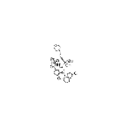 CCCC[C@](O)(C#CCCN1CCOCC1)[C@@H]1CC[C@H]1CN1C[C@@]2(CCCc3cc(Cl)ccc32)COc2ccc(C(=O)NS(=O)(=O)C(C)C)cc21